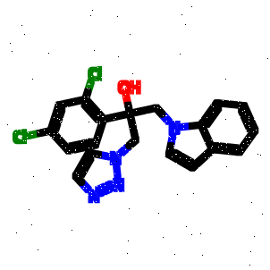 OC(Cn1ccnn1)(Cn1ccc2ccccc21)c1ccc(Cl)cc1Cl